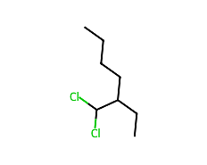 CCCCC(CC)C(Cl)Cl